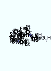 CCN(CC)c1ccc(/N=N/c2snc3sc(S(=O)(=O)O)c(C)c23)c(Nc2nc(Nc3cc(N(CC)CC)ccc3/N=N/c3snc4sc(S(=O)(=O)O)c(C)c34)nc(SC3CCCCC3)n2)c1